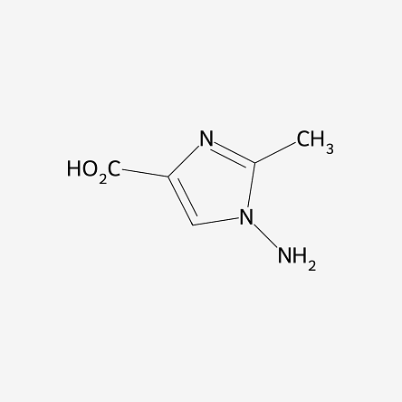 Cc1nc(C(=O)O)cn1N